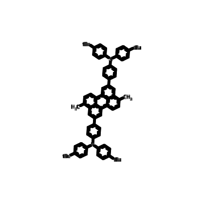 Cc1ccc2c3cc(-c4ccc(N(c5ccc(C(C)(C)C)cc5)c5ccc(C(C)(C)C)cc5)cc4)cc4c(C)ccc(c5cc(-c6ccc(N(c7ccc(C(C)(C)C)cc7)c7ccc(C(C)(C)C)cc7)cc6)cc1c25)c43